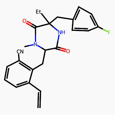 C=Cc1cccc(C#N)c1CC1C(=O)NC(CC)(Cc2ccc(F)cc2)C(=O)N1C